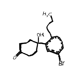 CCCc1ccc(Br)cc1C1(O)CCC(=O)CC1